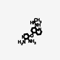 CPNc1ccc(Oc2ccnc(N)c2N)c2cccnc12